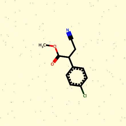 COC(=O)C(CC#N)c1ccc(Cl)cc1